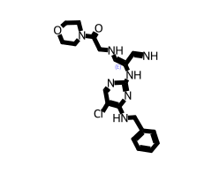 N=C/C(=C\NCC(=O)N1CCOCC1)Nc1ncc(Cl)c(NCc2ccccc2)n1